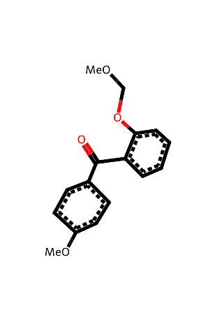 COCOc1ccccc1C(=O)c1ccc(OC)cc1